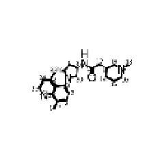 Cc1ccc(N2CC[C@H](NC(=O)C[C@@H]3CCCN(C)C3)C2)c2c(C)ccnc12